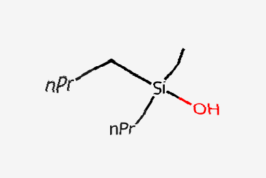 CCCC[Si](C)(O)CCC